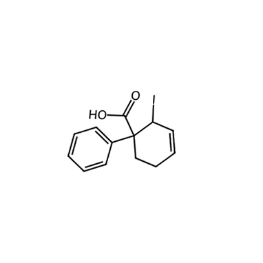 O=C(O)C1(c2ccccc2)CCC=CC1I